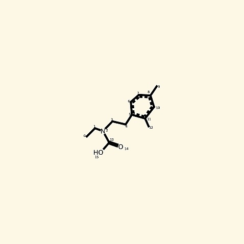 CCN(CCc1ccc(C)cc1C)C(=O)O